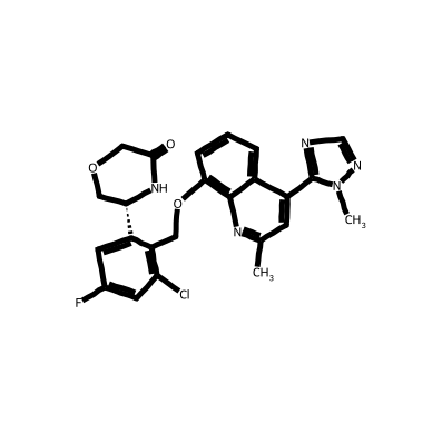 Cc1cc(-c2ncnn2C)c2cccc(OCc3c(Cl)cc(F)cc3[C@@H]3COCC(=O)N3)c2n1